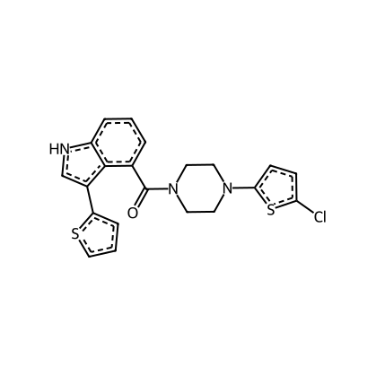 O=C(c1cccc2[nH]cc(-c3cccs3)c12)N1CCN(c2ccc(Cl)s2)CC1